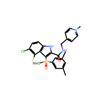 COP(=O)(c1cc(C)cc(C)c1)c1c(C(=O)NCc2cc[n+](C)cc2)[nH]c2ccc(Cl)c(F)c12